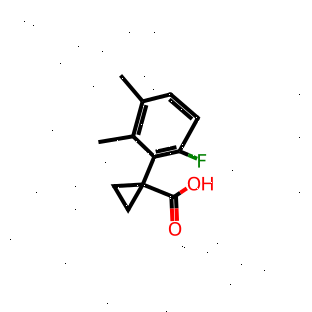 Cc1ccc(F)c(C2(C(=O)O)CC2)c1C